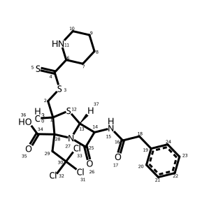 CC1(CSC(=S)C2CCCCN2)S[C@@H]2C(NC(=O)Cc3ccccc3)C(=O)N2C1(CC(Cl)(Cl)Cl)C(=O)O